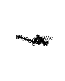 CC[C@H](C)[C@@H]([C@@H](CC(=O)N1CCC[C@H]1[C@H](OC)[C@@H](C)C(=O)N[C@@H](Cc1ccccc1)C(=O)NCCOCCOCCOCCN=[N+]=[N-])OC)N(C)C(=O)[C@@H](N=C(N(C)C)N(C)C)C(C)C